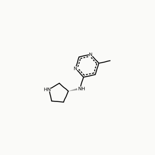 Cc1cc(N[C@@H]2CCNC2)ncn1